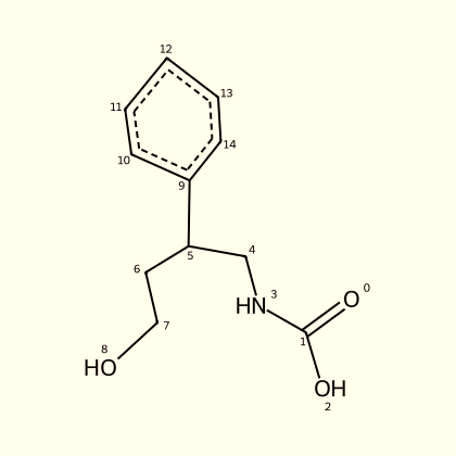 O=C(O)NCC(CCO)c1ccccc1